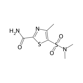 Cc1nc(C(N)=O)sc1S(=O)(=O)N(C)C